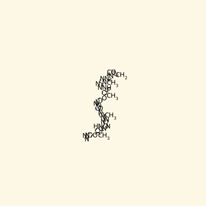 C=CC(=O)N1C[C@@H](C)N(c2ncc3ncnc(Nc4ccc(Oc5ccn6nc(/C=C\C(=O)N7CCN(c8ncc9ncnc(Nc%10ccc(Oc%11ccn%12ncnc%12c%11)c(C)c%10F)c9n8)[C@@H](C)C7)nc6c5)c(C)c4F)c3n2)C[C@H]1C